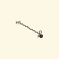 O=C(CCCCCCCCCCCCCCCS)[C]12[CH]3[CH]4[CH]5[CH]1[Fe]45321678[CH]2[CH]1[CH]6[CH]7[CH]28